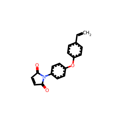 C=Cc1ccc(Oc2ccc(N3C(=O)C=CC3=O)cc2)cc1